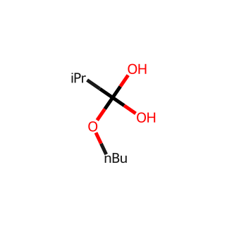 CCCCOC(O)(O)C(C)C